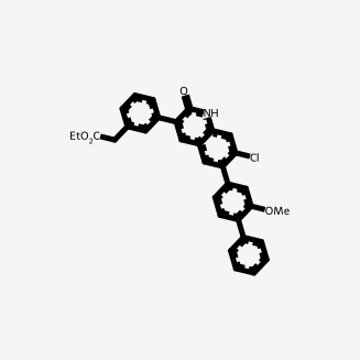 CCOC(=O)Cc1cccc(-c2cc3cc(-c4ccc(-c5ccccc5)c(OC)c4)c(Cl)cc3[nH]c2=O)c1